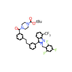 CC(C)(C)OC(=O)N1CCN(C(=O)c2cccc(CCc3cccc(-c4c5cccc(C(F)(F)F)c5nn4Cc4c(F)cc(F)cc4F)c3)c2)CC1